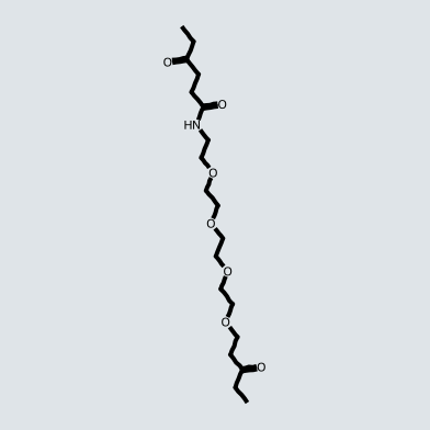 CCC(=O)CCOCCOCCOCCOCCNC(=O)CCC(=O)CC